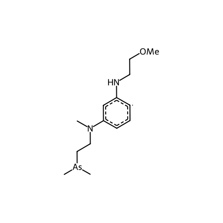 COCCNc1[c]ccc(N(C)CC[As](C)C)c1